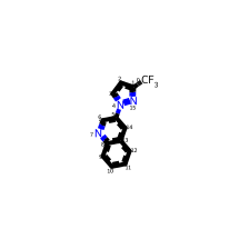 FC(F)(F)c1ccn(-c2[c]nc3ccccc3c2)n1